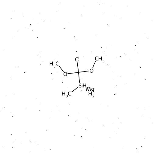 COC(Cl)(OC)[SiH2]C.[MgH2]